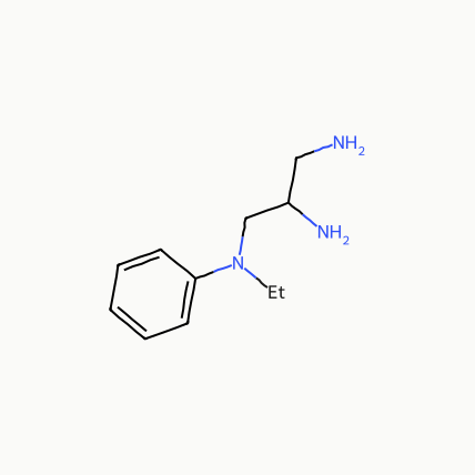 CCN(CC(N)CN)c1ccccc1